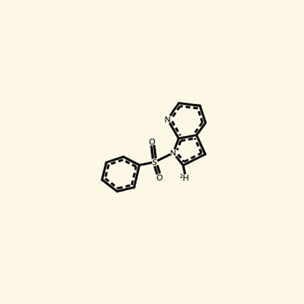 [2H]c1cc2cccnc2n1S(=O)(=O)c1ccccc1